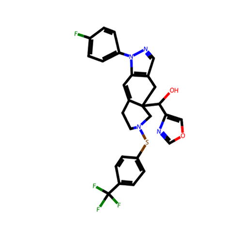 OC(c1cocn1)C12Cc3cnn(-c4ccc(F)cc4)c3C=C1CCN(Sc1ccc(C(F)(F)F)cc1)C2